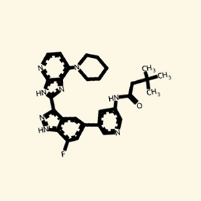 CC(C)(C)CC(=O)Nc1cncc(-c2cc(F)c3[nH]nc(-c4nc5c(N6CCCCC6)ccnc5[nH]4)c3c2)c1